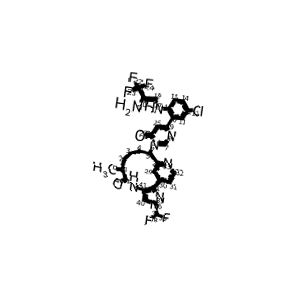 CC1CCCC(n2cnc(-c3cc(Cl)ccc3N/C=C(\N)C(F)(F)F)cc2=O)c2cc(ccn2)-c2nn(C(F)F)cc2NC1=O